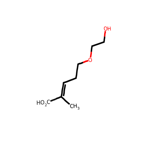 CC(=CCCOCCO)C(=O)O